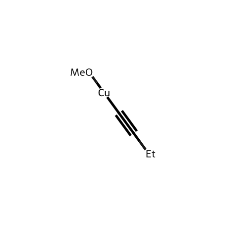 CCC#[C][Cu][O]C